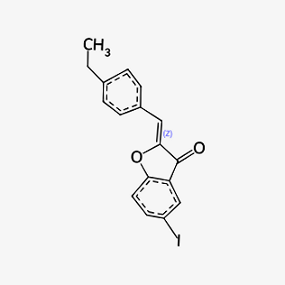 CCc1ccc(/C=C2\Oc3ccc(I)cc3C2=O)cc1